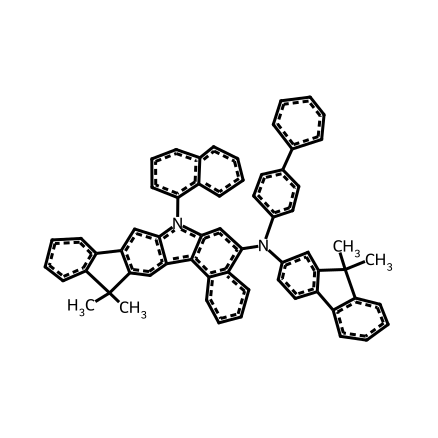 CC1(C)c2ccccc2-c2ccc(N(c3ccc(-c4ccccc4)cc3)c3cc4c(c5ccccc35)c3cc5c(cc3n4-c3cccc4ccccc34)-c3ccccc3C5(C)C)cc21